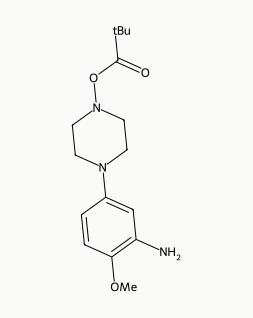 COc1ccc(N2CCN(OC(=O)C(C)(C)C)CC2)cc1N